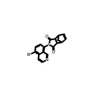 O=C1C2C3C=CC(C3)C2C(=O)N1c1ccc(Br)c2ccncc12